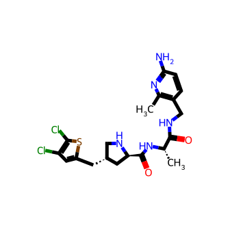 Cc1nc(N)ccc1CNC(=O)[C@H](C)NC(=O)[C@H]1C[C@H](Cc2cc(Cl)c(Cl)s2)CN1